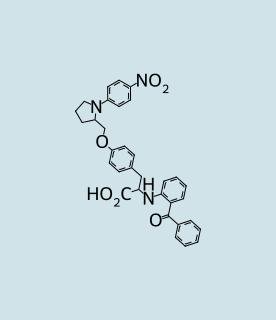 O=C(c1ccccc1)c1ccccc1NC(Cc1ccc(OCC2CCCN2c2ccc([N+](=O)[O-])cc2)cc1)C(=O)O